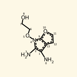 Nc1c(N)n(OCCO)c2occc12